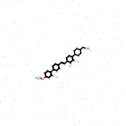 CCC1CCC(c2ccc(/C=C/c3ccc(-c4ccc(OC)cc4F)cc3)c(F)c2F)CC1